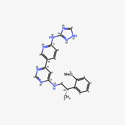 COc1ccccc1[C@H](C)CNc1cc(-c2ccc(Nc3nc[nH]n3)nc2)ncn1